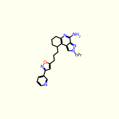 CCCn1cc2c3c(nc(N)c2n1)CCCC3CCCc1cc(-c2cccnc2)no1